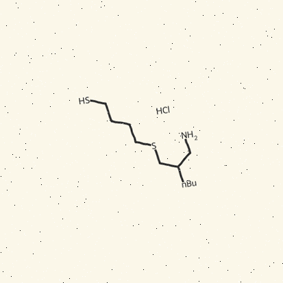 CCCCC(CN)CSCCCCS.Cl